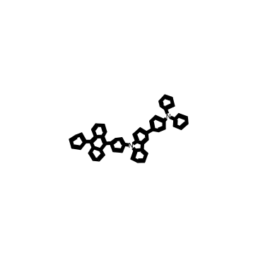 C1=CC2C(c3ccccc3)=c3ccccc3=C(c3ccc(-n4c5ccccc5c5cc(-c6ccc(N(c7ccccc7)c7ccccc7)cc6)ccc54)cc3)C2C=C1